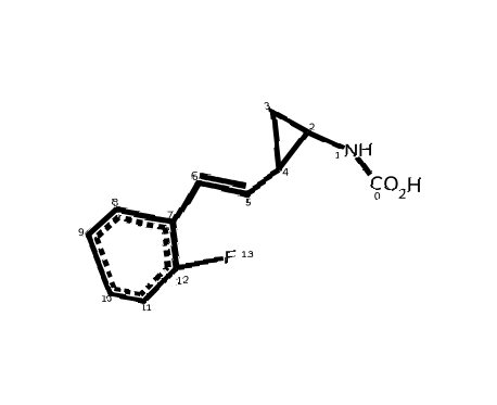 O=C(O)NC1CC1C=Cc1ccccc1F